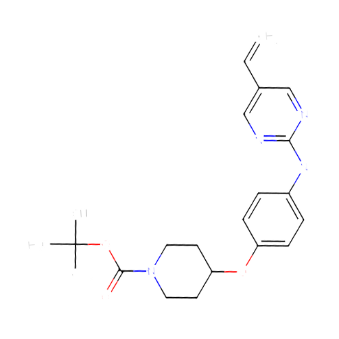 C=Cc1cnc(Nc2ccc(OC3CCN(C(=O)OC(C)(C)C)CC3)cc2)nc1